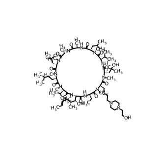 C/C=C/C[C@@H](C)[C@@H](O)[C@H]1C(=O)N[C@H](CC)C(=O)N(C)[C@H](CSCCN2CCN(CCO)CC2)C(=O)N(C)[C@@H](CC(C)(C)O)C(=O)N[C@H](C(C)C)C(=O)N(C)[C@H](CC(C)C)C(=O)N[C@H](C)C(=O)N[C@@H](C)C(=O)N(C)[C@@H](CC(C)C)C(=O)N(C)[C@H](CCC(C)C)C(=O)N(C)[C@H](C(C)C)C(=O)N1C